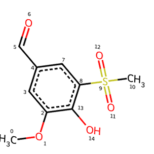 COc1cc(C=O)cc(S(C)(=O)=O)c1O